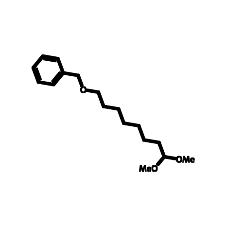 COC(CCCCCCCOCc1ccccc1)OC